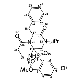 COc1ccc(Cl)cc1S(=O)(=O)C12CN(C(C)C)C(=O)C(Cc3ccncc3)N1C(=O)CCN2